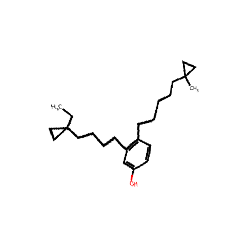 CCC1(CCCCc2cc(O)ccc2CCCCCC2(C)CC2)CC1